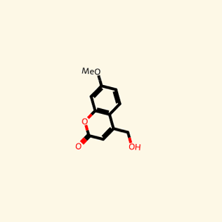 COc1ccc2c(CO)cc(=O)oc2c1